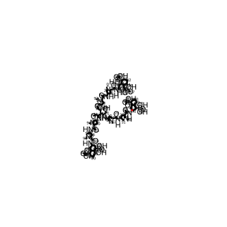 Cn1cc(NC(=O)c2cc(NC(C=O)C(C(C=O)Nc3cc(C(=O)Nc4cc(C(=O)Nc5cc(P(=O)(O)O)c6cccc(P(=O)(O)O)c6c5)n(C)c4)n(C)c3)C(C=O)Nc3cc(C(=O)Nc4cc(C(=O)Nc5cc(P(=O)(O)O)c6cccc(P(=O)(O)O)c6c5)n(C)c4)n(C)c3)cn2C)cc1C(=O)Nc1cc(P(=O)(O)O)c2cccc(P(=O)(O)O)c2c1